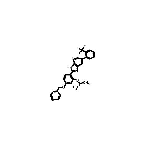 CC(C)Oc1cc(OCc2ccccc2)ccc1-c1nc2cc(-c3ccccc3C(F)(F)F)cnc2[nH]1